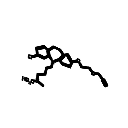 C#CCOCCOc1ccc2c(c1)CCc1ccc(Cl)cc1N2CCCCN(C)C(=O)O